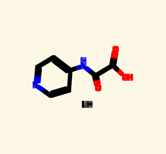 O=C(O)C(=O)Nc1ccncc1.[LiH]